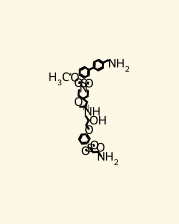 CCOc1ccc(-c2ccc(CN)cc2)cc1S(=O)(=O)N1CCC2(CC1)C[C@@H](NCC(O)COc1cccc(S(=O)(=O)CC(N)=O)c1)CO2